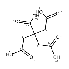 O=C(O)CC(CC(=O)O)(CC(=O)O)C(=O)O